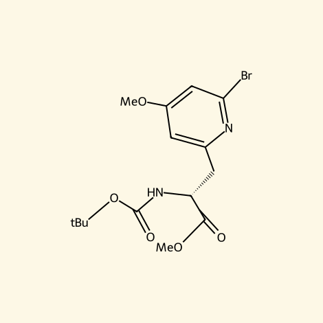 COC(=O)[C@@H](Cc1cc(OC)cc(Br)n1)NC(=O)OC(C)(C)C